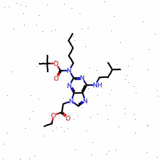 CCCCCN(C(=O)OC(C)(C)C)c1nc(NCCC(C)C)c2ncn(CC(=O)OCC)c2n1